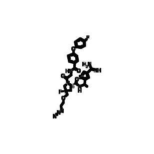 CC(NC(=O)[C@@H]1C[C@](F)(COCCN=[N+]=[N-])CN1C(=O)CNC(=O)c1ccc(Oc2ccc(F)cc2)cc1)c1cc(C(=N)N)cs1